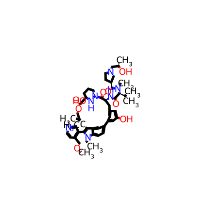 CCn1c(-c2cnccc2COC)c2c3cc(ccc31)-c1cc(O)cc(c1)C[C@H](NC(=O)[C@H](C(C)C)N(C)C(=O)[C@H]1CCN(C[C@H](C)O)C1)C(=O)N1CCC[C@@](O)(N1)C(=O)OCC(C)(C)C2